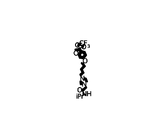 CC(C)NC(=O)CN1CCN(CCCCCOc2ccc3c(S(=O)(=O)C(F)(F)F)coc3c2)CC1